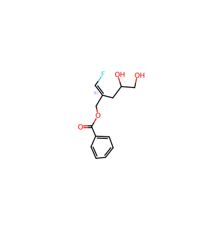 O=C(OC/C(=C/F)CC(O)CO)c1ccccc1